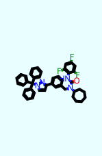 O=C(Nc1c(F)cc(F)cc1F)N(Cc1cccc(-c2ccn(C(c3ccccc3)(c3ccccc3)c3ccccc3)n2)c1)C1CCCCCC1